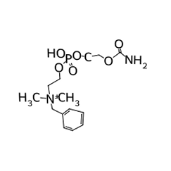 C[N+](C)(CCOP(=O)(O)OCCOC(N)=O)Cc1ccccc1